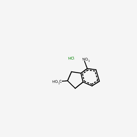 Cl.O=C(O)C1Cc2cccc([N+](=O)[O-])c2C1